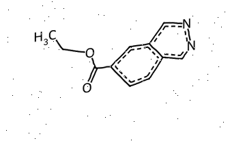 CCOC(=O)c1ccc2cnncc2c1